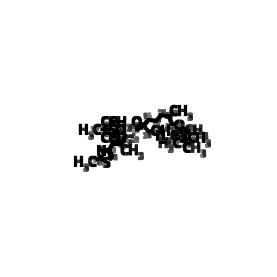 C/C(=C\c1csc(C)n1)[C@H](C[C@@H]1O[C@]1(CO)CCC[C@H](C)CO[Si](C)(C)C(C)(C)C)O[Si](C)(C)C(C)(C)C